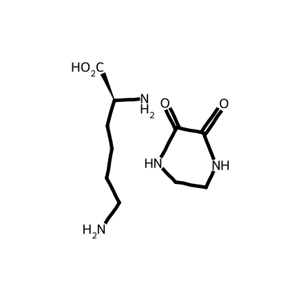 NCCCC[C@H](N)C(=O)O.O=C1NCCNC1=O